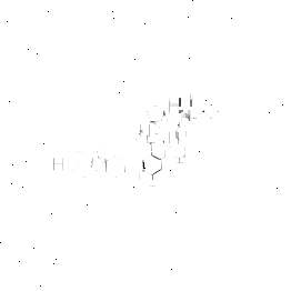 CC1(CNC(=O)[C@H]2[C@@H]3CC[C@@H](C3)[C@H]2NC(=O)c2cc(OC3CCC(C)(C(=O)O)CC3)c(F)cc2OC(F)F)CCC1